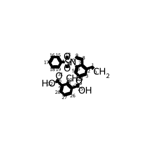 C=Cc1cccc2c1ccn2S(=O)(=O)c1ccccc1.Cc1c(C(=O)O)cccc1C(=O)O